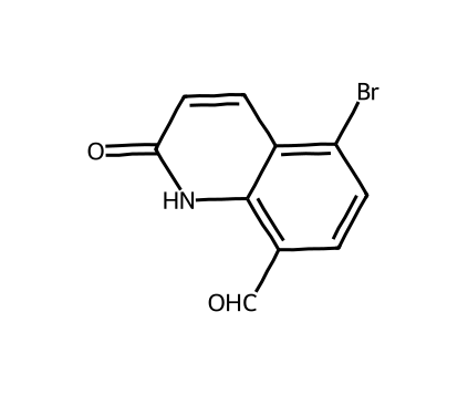 O=Cc1ccc(Br)c2ccc(=O)[nH]c12